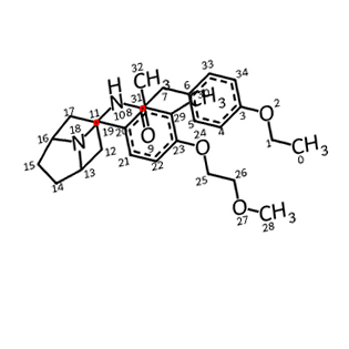 CCOc1ccc(CC(=O)NC2CC3CCC(C2)N3Cc2ccc(OCCOC)c(C)c2C)cc1